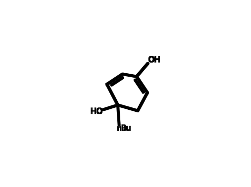 CCCCC1(O)C=CC(O)=CC1